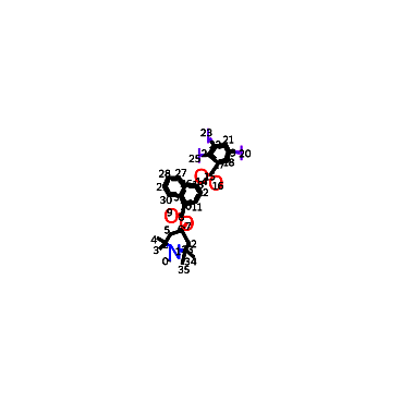 CN1C(C)(C)CC(OC(=O)c2ccc(OC(=O)c3cc(I)cc(I)c3I)c3ccccc23)CC1(C)C